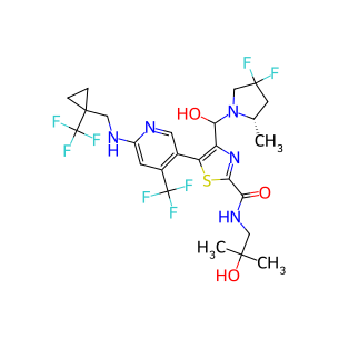 C[C@H]1CC(F)(F)CN1C(O)c1nc(C(=O)NCC(C)(C)O)sc1-c1cnc(NCC2(C(F)(F)F)CC2)cc1C(F)(F)F